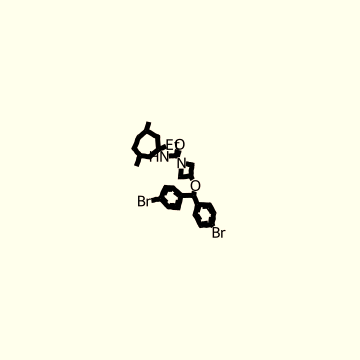 CCC1(NC(=O)N2CC(OC(c3ccc(Br)cc3)c3ccc(Br)cc3)C2)CC(C)CCC(C)C1